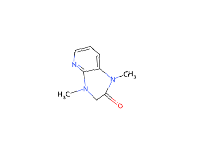 CN1CC(=O)N(C)c2cccnc21